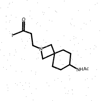 CC(=O)NC1CCC2(CC1)CN(CCC(=O)I)C2